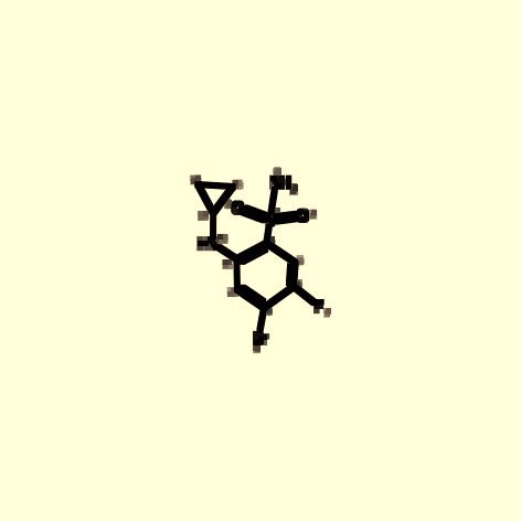 NS(=O)(=O)c1cc(F)c(Br)cc1NC1CC1